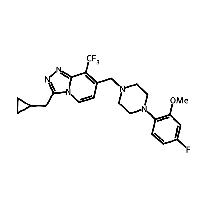 COc1cc(F)ccc1N1CCN(Cc2ccn3c(CC4CC4)nnc3c2C(F)(F)F)CC1